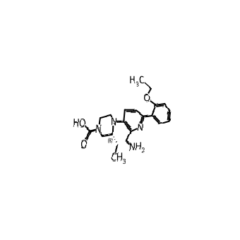 CCOc1ccccc1-c1ccc(N2CCN(C(=O)O)C[C@H]2CC)c(CN)n1